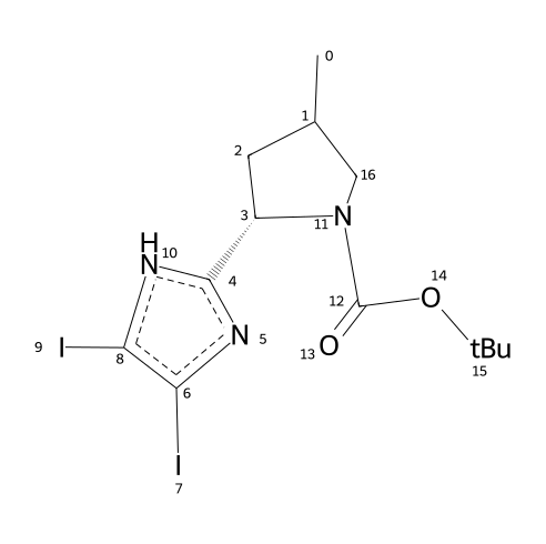 CC1C[C@@H](c2nc(I)c(I)[nH]2)N(C(=O)OC(C)(C)C)C1